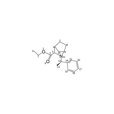 CCOC(=O)C1C2CCC(C2)N1[C@H](C)c1ccccc1